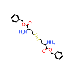 NC(CCSSCCC(N)C(=O)OCc1ccccc1)C(=O)OCc1ccccc1